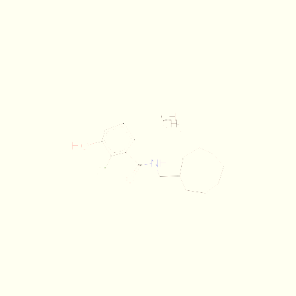 O=C(NC[C]1CCCCCCC1)c1cccc(O)c1Cl.[CH2].[CH2]